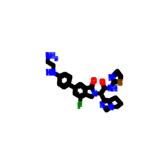 NCCNc1ccc(-c2cc(F)c3c(c2)C(=O)N(C(C(=O)Nc2nccs2)c2ncn4c2CCC4)C3)cc1